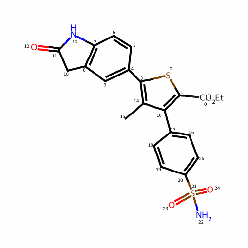 CCOC(=O)c1sc(-c2ccc3c(c2)CC(=O)N3)c(C)c1-c1ccc(S(N)(=O)=O)cc1